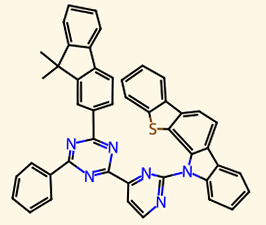 CC1(C)c2ccccc2-c2ccc(-c3nc(-c4ccccc4)nc(-c4ccnc(-n5c6ccccc6c6ccc7c8ccccc8sc7c65)n4)n3)cc21